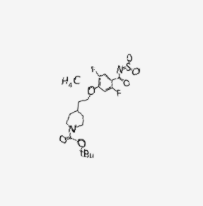 C.CC(C)(C)OC(=O)N1CCC(CCOc2cc(F)c(C(=O)N=S(=O)=O)cc2F)CC1